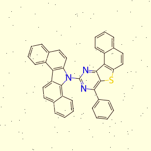 c1ccc(-c2nc(-n3c4ccc5ccccc5c4c4ccc5ccccc5c43)nc3c2sc2ccc4ccccc4c23)cc1